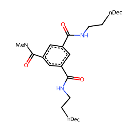 CCCCCCCCCCCCNC(=O)c1cc(C(=O)NC)cc(C(=O)NCCCCCCCCCCCC)c1